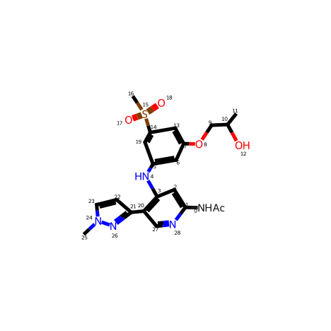 CC(=O)Nc1cc(Nc2cc(OCC(C)O)cc(S(C)(=O)=O)c2)c(-c2ccn(C)n2)cn1